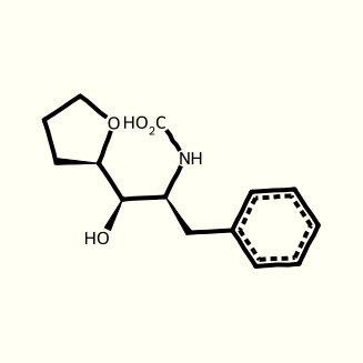 O=C(O)N[C@@H](Cc1ccccc1)[C@@H](O)[C@H]1CCCO1